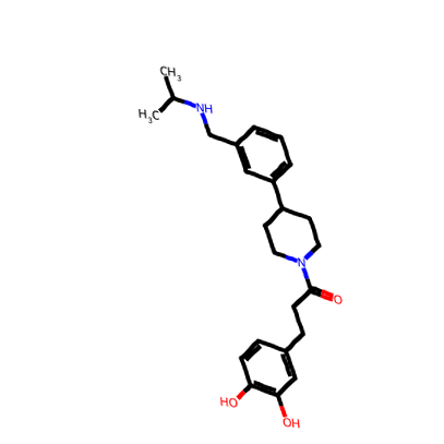 CC(C)NCc1cccc(C2CCN(C(=O)CCc3ccc(O)c(O)c3)CC2)c1